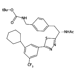 CC(=O)N[C@@H](Cc1ccc(CNC(=O)OC(C)(C)C)cc1)c1nnc(-c2cc(C3CCCCC3)cc(C(F)(F)F)c2)s1